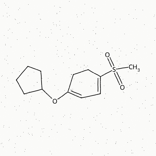 CS(=O)(=O)C1=CC=C(OC2CCCC2)[CH]C1